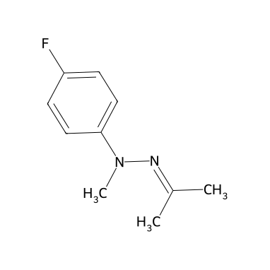 CC(C)=NN(C)c1ccc(F)cc1